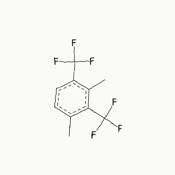 Cc1ccc(C(F)(F)F)c(C)c1C(F)(F)F